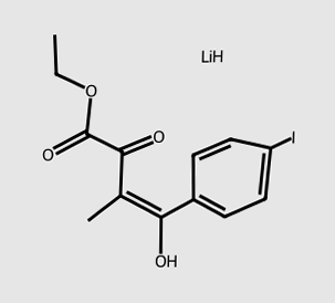 CCOC(=O)C(=O)C(C)=C(O)c1ccc(I)cc1.[LiH]